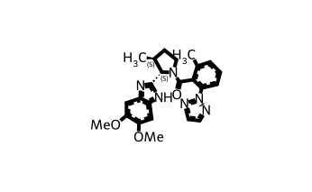 COc1cc2nc([C@@H]3[C@@H](C)CCN3C(=O)c3c(C)cccc3-n3nccn3)[nH]c2cc1OC